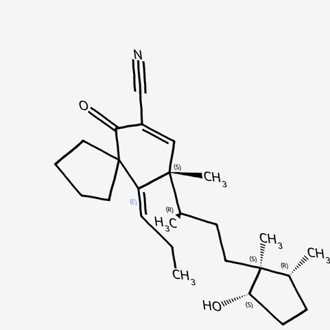 CC/C=C1/C2(CCCC2)C(=O)C(C#N)=C[C@]1(C)[C@H](C)CC[C@@]1(C)[C@H](C)CC[C@@H]1O